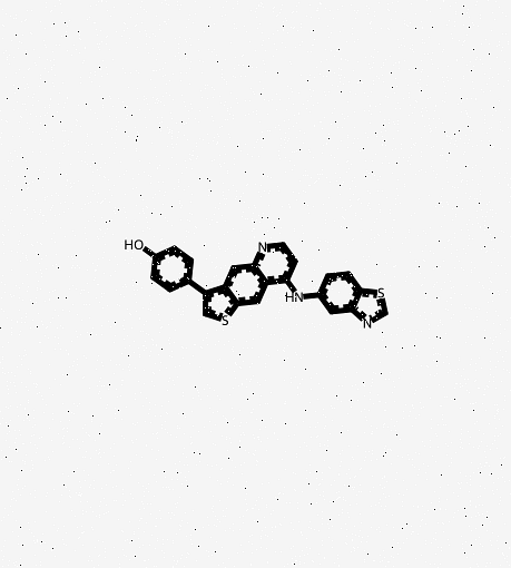 Oc1ccc(-c2csc3cc4c(Nc5ccc6scnc6c5)ccnc4cc23)cc1